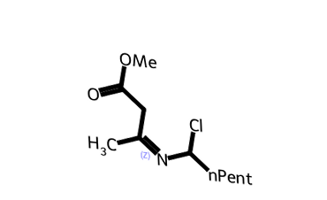 CCCCCC(Cl)/N=C(/C)CC(=O)OC